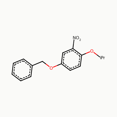 CC(C)Oc1ccc(OCc2ccccc2)cc1[N+](=O)[O-]